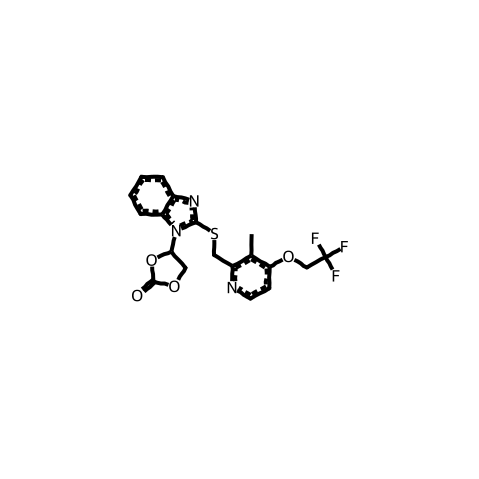 Cc1c(OCC(F)(F)F)ccnc1CSc1nc2ccccc2n1C1COC(=O)O1